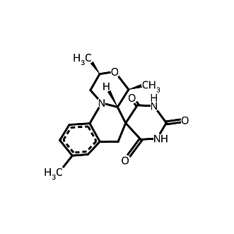 Cc1ccc2c(c1)CC1(C(=O)NC(=O)NC1=O)[C@H]1[C@H](C)O[C@H](C)CN21